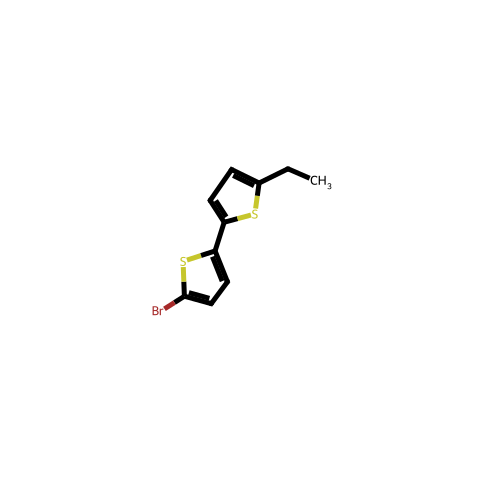 CCc1ccc(-c2ccc(Br)s2)s1